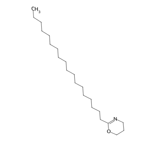 CCCCCCCCCCCCCCCCCCC1=NCCCO1